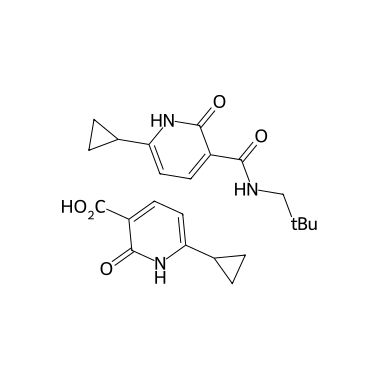 CC(C)(C)CNC(=O)c1ccc(C2CC2)[nH]c1=O.O=C(O)c1ccc(C2CC2)[nH]c1=O